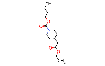 CCCCOC(=O)N1CCC(CC(=O)OCC)CC1